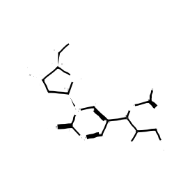 CCC(=O)OC(c1cnc(=O)n([C@H]2C[C@H](O)[C@@H](CO)O2)c1)C(O)CO